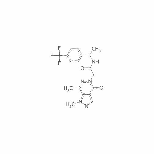 Cc1nn(CC(=O)NC(C)c2ccc(C(F)(F)F)cc2)c(=O)c2cnn(C)c12